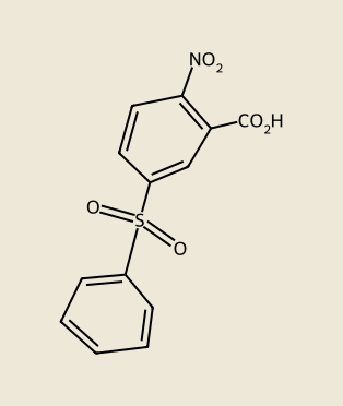 O=C(O)c1cc(S(=O)(=O)c2ccccc2)ccc1[N+](=O)[O-]